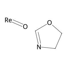 C1=NCCO1.[O]=[Re]